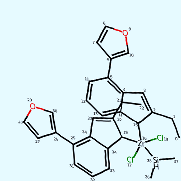 CCC1=Cc2c(-c3ccoc3)cccc2[CH]1[Zr]([Cl])([Cl])([CH]1C(CC)=Cc2c(-c3ccoc3)cccc21)[SiH](C)C